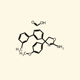 COc1ccc(C2(c3cccc(-c4cccc(C)c4)c3)COC(N)=N2)cc1.O=CO